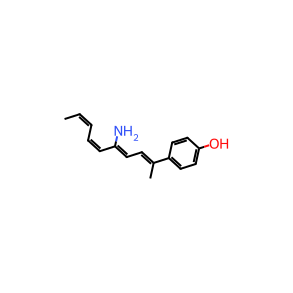 C\C=C/C=C\C(N)=C\C=C(/C)c1ccc(O)cc1